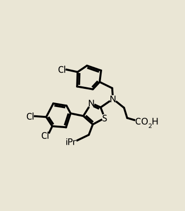 CC(C)Cc1sc(N(CCC(=O)O)Cc2ccc(Cl)cc2)nc1-c1ccc(Cl)c(Cl)c1